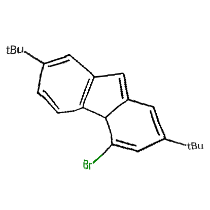 CC(C)(C)C1=CC2=Cc3cc(C(C)(C)C)ccc3C2C(Br)=C1